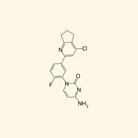 Nc1ccn(-c2cc(-c3cc(Cl)c4c(n3)CCC4)ccc2F)c(=O)n1